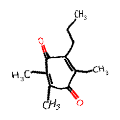 CCCC1=C(C)C(=O)C(C)=C(C)C1=O